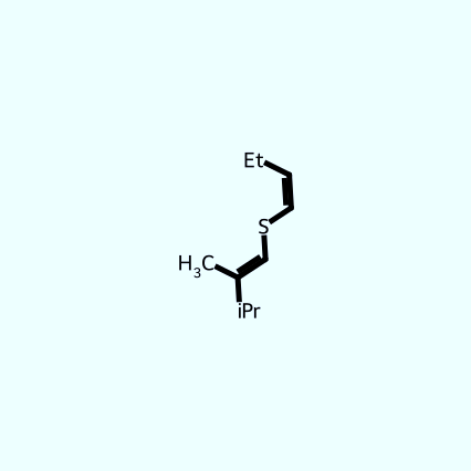 CC/C=C\S/C=C(\C)C(C)C